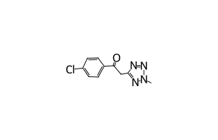 Cn1nnc(CC(=O)c2ccc(Cl)cc2)n1